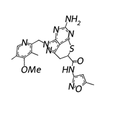 COc1c(C)cnc(Cn2nc3c4c(nc(N)nc42)SC(C(=O)Nc2cc(C)on2)C3)c1C